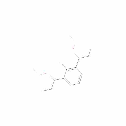 CCC(OSI)c1cccc(C(CC)OSI)c1C